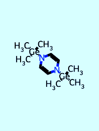 [CH3][Ge]([CH3])([CH3])[N]1C=C[N]([Ge]([CH3])([CH3])[CH3])C=C1